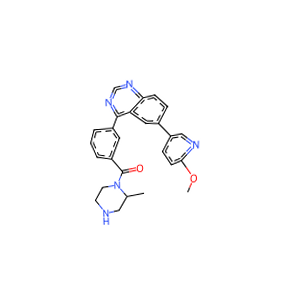 COc1ccc(-c2ccc3ncnc(-c4cccc(C(=O)N5CCNCC5C)c4)c3c2)cn1